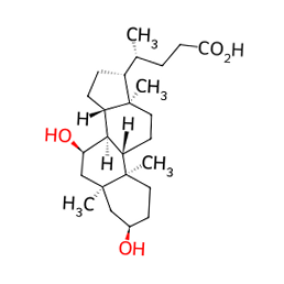 C[C@H](CCC(=O)O)[C@H]1CC[C@H]2[C@@H]3[C@H](O)C[C@]4(C)C[C@H](O)CC[C@]4(C)[C@H]3CC[C@]12C